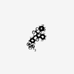 COC(=O)c1c(Cc2ccc(S(C)(=O)=O)cc2)c(=O)c2ccccc2n1-c1ccccc1